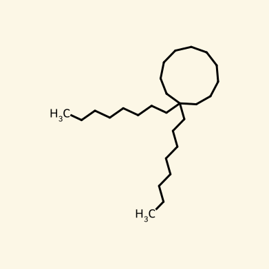 CCCCCCCCC1(CCCCCCCC)CCCCCCCCCC1